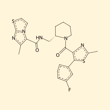 Cc1nc(C(=O)N2CCCC[C@H]2CNC(=O)c2c(C)nc3sccn23)c(-c2cccc(F)c2)s1